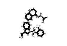 CC(=O)NN=C1CC=Nc2ccccc21.O=Cc1cn(S(=O)(=O)c2ccccc2Cl)c2ccccc12